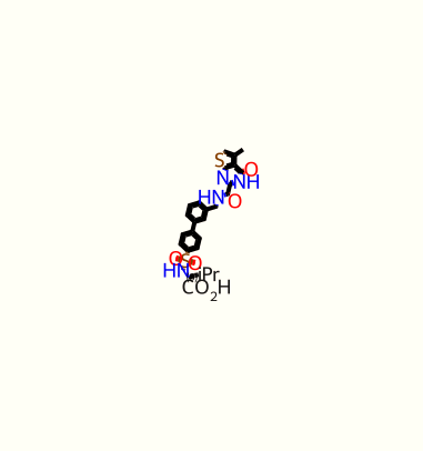 Cc1csc2nc(C(=O)NCc3cccc(-c4ccc(S(=O)(=O)N[C@H](C(=O)O)C(C)C)cc4)c3)[nH]c(=O)c12